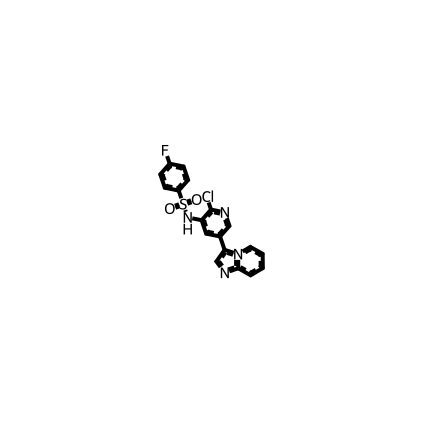 O=S(=O)(Nc1cc(-c2cnc3ccccn23)cnc1Cl)c1ccc(F)cc1